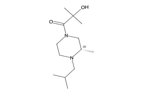 CC(C)CN1CCN(C(=O)C(C)(C)O)C[C@@H]1C